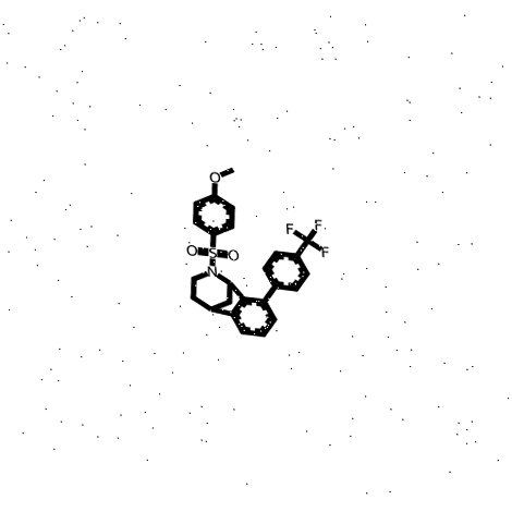 COc1ccc(S(=O)(=O)N2CCC3CC2c2c(-c4ccc(C(F)(F)F)cc4)cccc23)cc1